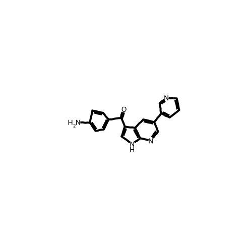 Nc1ccc(C(=O)c2c[nH]c3ncc(-c4cccnc4)cc23)cc1